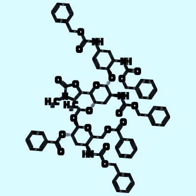 CC(O[C@H]1OC(COC(=O)c2ccccc2)[C@@H](NC(=O)OCc2ccccc2)C[C@@H]1OC(=O)c1ccccc1)O[C@H]1C[C@H](NC(=O)OCc2ccccc2)[C@@H](O[C@H]2C=CC(NC(=O)OCc3ccccc3)CC2NC(=O)OCc2ccccc2)OC1C1CN(C)C(=O)O1